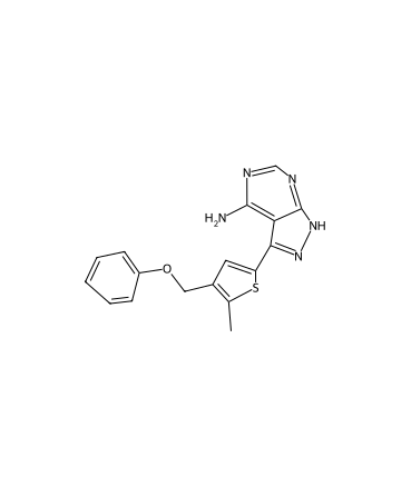 Cc1sc(-c2n[nH]c3ncnc(N)c23)cc1COc1ccccc1